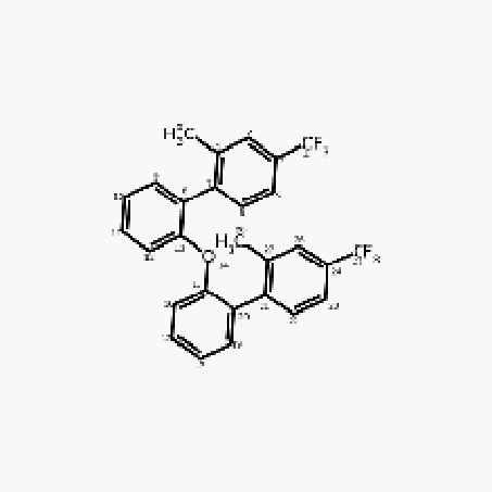 Cc1cc(C(F)(F)F)ccc1-c1ccccc1Oc1ccccc1-c1ccc(C(F)(F)F)cc1C